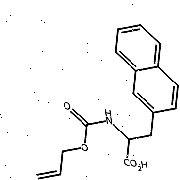 C=CCOC(=O)NC(Cc1ccc2ccccc2c1)C(=O)O